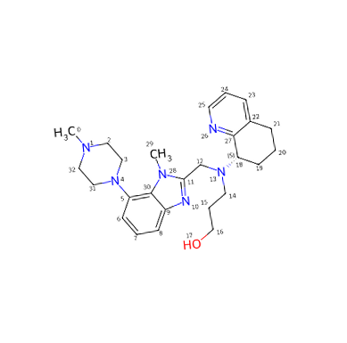 CN1CCN(c2cccc3nc(CN(CCCO)[C@H]4CCCc5cccnc54)n(C)c23)CC1